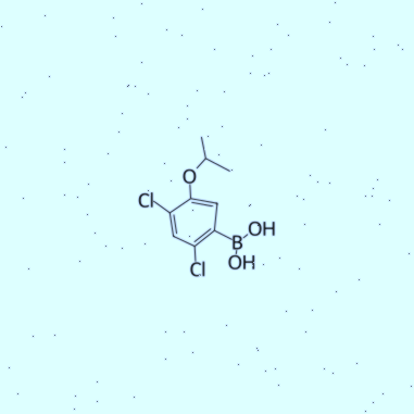 CC(C)Oc1cc(B(O)O)c(Cl)cc1Cl